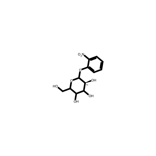 O=[N+]([O-])c1ccccc1OC1OC(CO)C(O)C(O)[C@@H]1O